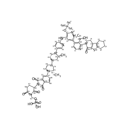 [2H]C([2H])([2H])Oc1ncc(-c2ccnc(N3CCc4c(sc5c4CCCC5)C3=O)c2[C@H](C)O)cc1Nc1ccc(N2CCN(C3CCN(c4ccc5c(c4)C(=O)N(C4CCC(=O)N(COP(=O)(O)O)C4=O)C5=O)[C@@H](C)C3)C[C@@H]2C)cn1